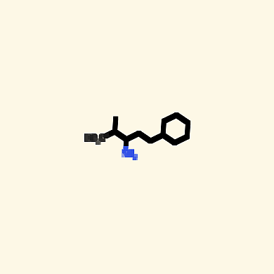 CC(C(=O)O)C(N)CCC1CCCCC1